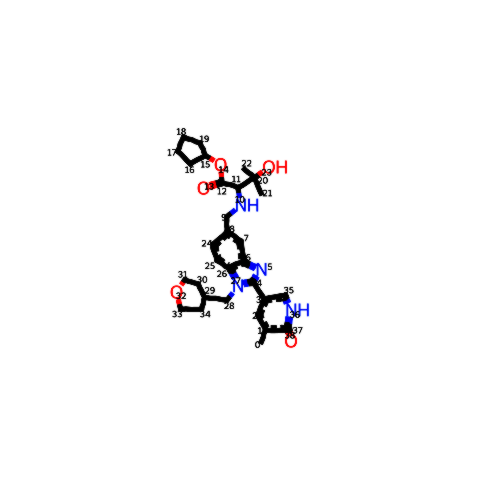 Cc1cc(-c2nc3cc(CNC(C(=O)OC4CCCC4)C(C)(C)O)ccc3n2CC2CCOCC2)c[nH]c1=O